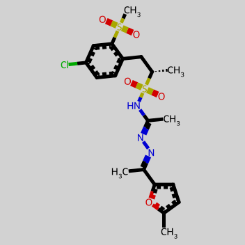 C/C(=N\N=C(/C)c1ccc(C)o1)NS(=O)(=O)[C@@H](C)Cc1ccc(Cl)cc1S(C)(=O)=O